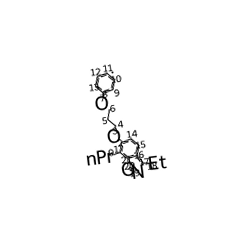 CCCc1c(OCCCOc2cc[c]cc2)ccc2c(CC)noc12